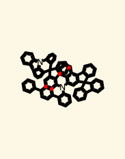 c1ccc(-c2ccc(-c3ccccc3N(c3cccc4c3-c3ccccc3C43c4ccccc4-n4c5ccccc5c5cccc3c54)c3cc4c(c5ccccc35)-c3ccccc3C43c4ccccc4-c4ccccc43)cc2)cc1